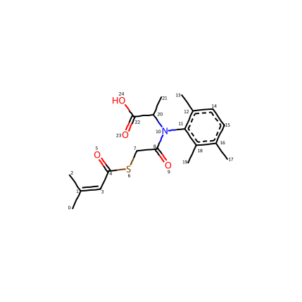 CC(C)=CC(=O)SCC(=O)N(c1c(C)ccc(C)c1C)C(C)C(=O)O